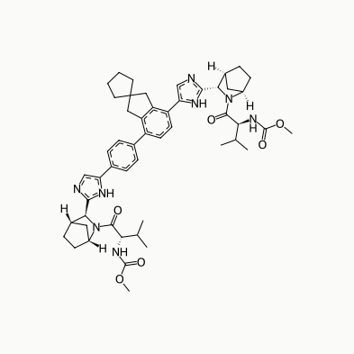 COC(=O)N[C@H](C(=O)N1[C@@H]2CC[C@@H](C2)[C@H]1c1ncc(-c2ccc(-c3ccc(-c4cnc([C@@H]5[C@H]6CC[C@H](C6)N5C(=O)[C@@H](NC(=O)OC)C(C)C)[nH]4)c4c3CC3(CCCC3)C4)cc2)[nH]1)C(C)C